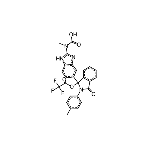 Cc1ccc(N2C(=O)c3ccccc3C2(OC(=O)C(F)(F)F)c2ccc3[nH]c(N(C)C(=O)O)nc3c2)cc1